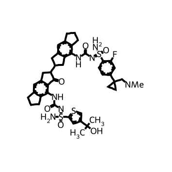 CNCC1(c2ccc(S(N)(=O)=NC(=O)Nc3c4c(cc5c3CC(C3Cc6cc7c(c(NC(=O)N=S(N)(=O)c8cc(C(C)(C)O)cs8)c6C3=O)CCC7)C5)CCC4)c(F)c2)CC1